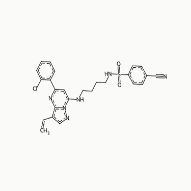 C=Cc1cnn2c(NCCCCNS(=O)(=O)c3ccc(C#N)cc3)cc(-c3ccccc3Cl)nc12